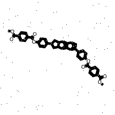 COC(=O)c1ccc(C(=O)Oc2ccc(C3CC4C(C3)C3CC4C4C5CC(c6ccc(OC(=O)c7ccc(C(=O)OC)cc7)cc6)C(C5)C34)cc2)cc1